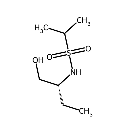 CC[C@H](CO)NS(=O)(=O)C(C)C